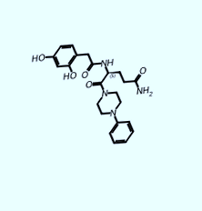 NC(=O)CC[C@H](NC(=O)Cc1ccc(O)cc1O)C(=O)N1CCN(c2ccccc2)CC1